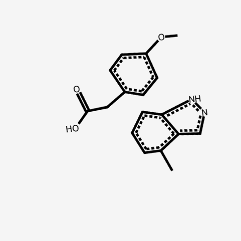 COc1ccc(CC(=O)O)cc1.Cc1cccc2[nH]ncc12